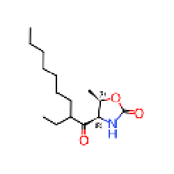 CCCCCCCC(CC)C(=O)[C@@H]1NC(=O)O[C@@H]1C